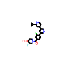 O=C(c1ccc(-c2cncc(-c3ccnc(C4CC4)c3)c2)c(Cl)c1)N1CCC(O)C(F)C1